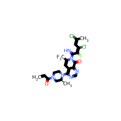 C=CC(=O)N1CCN(c2ncnc3c(=O)n(C(=N)/C(F)=C(Cl)\C=C(/C)Cl)c(C(F)(F)F)cc23)[C@H](C)C1